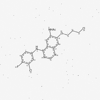 CC(=O)Nc1cc2c(Nc3ccc(F)c(Cl)c3)ncnc2cc1OCCCCl